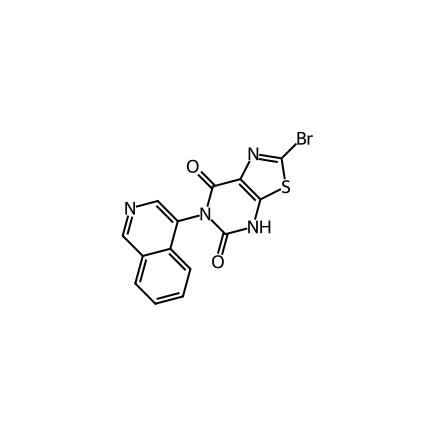 O=c1[nH]c2sc(Br)nc2c(=O)n1-c1cncc2ccccc12